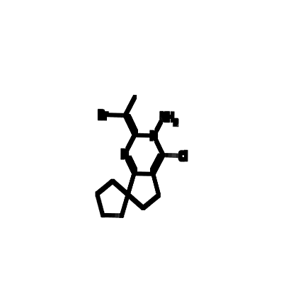 C/C(Br)=C1/N=C2C(=C(Cl)N1N)CCC21CCCC1